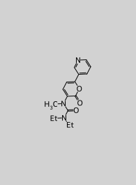 CCN(CC)C(=O)N(C)c1ccc(-c2cccnc2)oc1=O